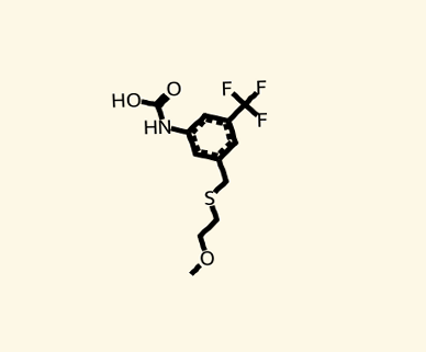 COCCSCc1cc(NC(=O)O)cc(C(F)(F)F)c1